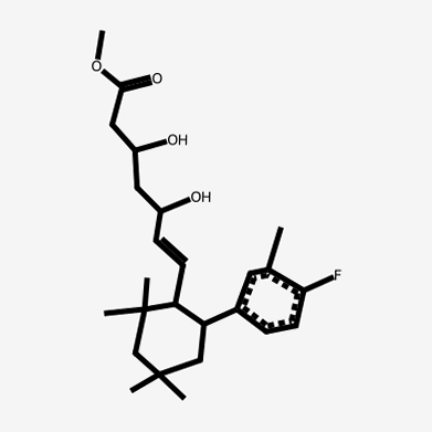 COC(=O)CC(O)CC(O)C=CC1C(c2ccc(F)c(C)c2)CC(C)(C)CC1(C)C